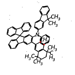 Cc1cc2c(cc1-c1cc3c(cc1N(c1ccccc1)c1ccc4c(c1)C(C)(C)c1ccccc1-4)C1(c4ccccc4-c4ccccc41)c1ccccc1-3)C(C)(C)CCC2(C)C